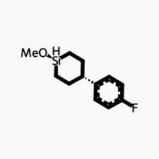 CO[Si@H]1CC[C@H](c2ccc(F)cc2)CC1